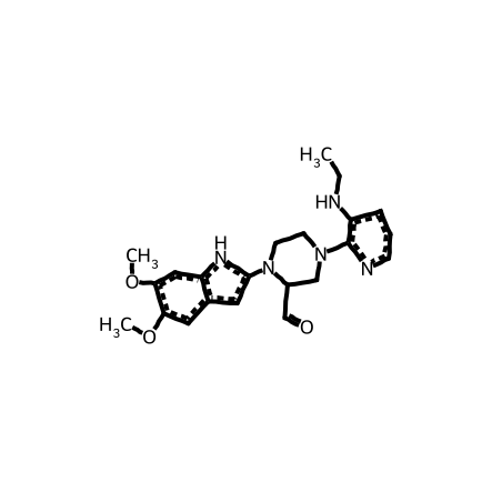 CCNc1cccnc1N1CCN(c2cc3cc(OC)c(OC)cc3[nH]2)C(C=O)C1